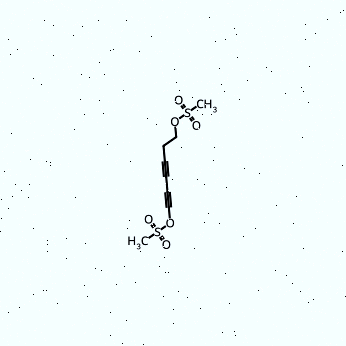 CS(=O)(=O)OC#CC#CCCOS(C)(=O)=O